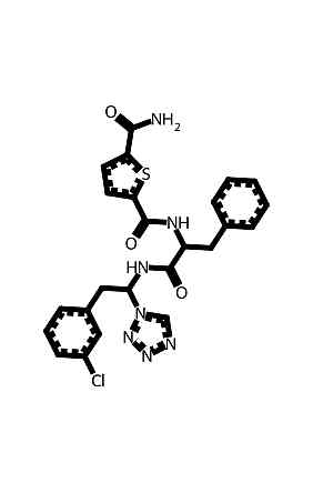 NC(=O)c1ccc(C(=O)NC(Cc2ccccc2)C(=O)NC(Cc2cccc(Cl)c2)n2cnnn2)s1